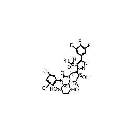 [2H]C([2H])([2H])O[C@@H]1[C@@H](n2cc(-c3cc(F)c(F)c(F)c3)nn2)[C@@H](O)[C@@H](CO)O[C@H]1C(=O)N(c1cc(Cl)cc(Cl)c1)[C@H]1CCCC[C@@H]1O